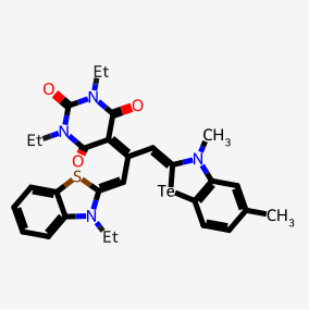 CCN1C(=O)C(=C(C=C2[Te]c3ccc(C)cc3N2C)C=C2Sc3ccccc3N2CC)C(=O)N(CC)C1=O